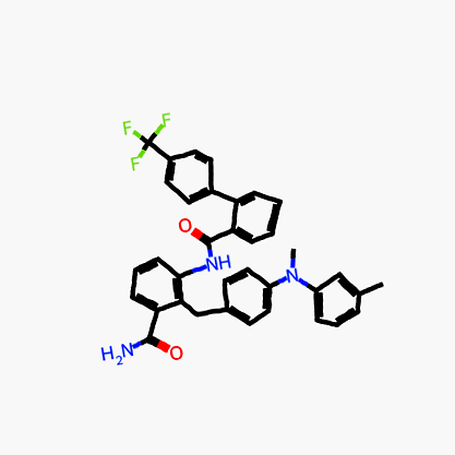 Cc1cccc(N(C)c2ccc(Cc3c(NC(=O)c4ccccc4-c4ccc(C(F)(F)F)cc4)cccc3C(N)=O)cc2)c1